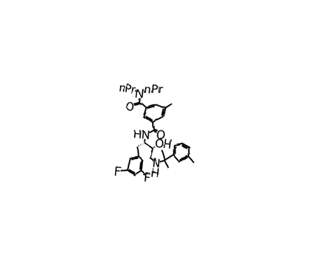 CCCN(CCC)C(=O)c1cc(C)cc(C(=O)N[C@@H](Cc2cc(F)cc(F)c2)[C@H](O)CNC(C)(C)c2cccc(C)c2)c1